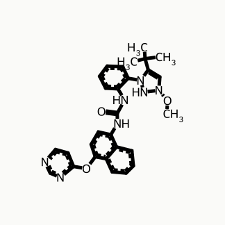 CON1C=C(C(C)(C)C)N(c2ccccc2NC(=O)Nc2ccc(Oc3ccncn3)c3ccccc23)N1